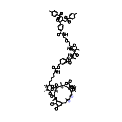 COc1cc2cc(c1Cl)N(C)C(=O)C[C@H](OC(=O)[C@H](C)N(C)C(=O)CCCCCNC(=O)OCc1ccc(NC(=O)[C@H](C)NC(=O)[C@@H](NC(=O)CCOCCNC(=O)c3ccc(C(=O)C(CS(=O)(=O)c4ccc(C)cc4)CS(=O)(=O)c4ccc(C)cc4)cc3)C(C)C)cc1)[C@]1(C)OC1[C@@H](C)C1C[C@@](O)(NC(=O)O1)[C@H](OC)/C=C/C=C(\C)C2